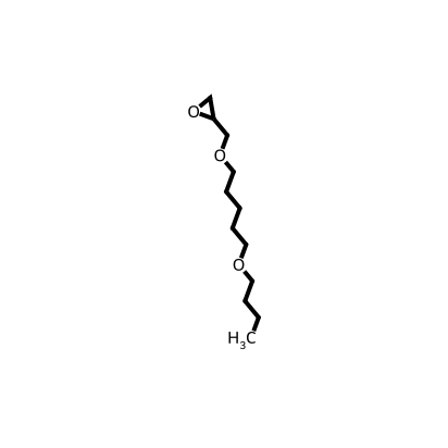 CCCCOCCCCCOCC1CO1